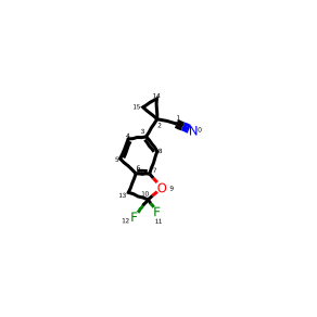 N#CC1(c2ccc3c(c2)OC(F)(F)C3)CC1